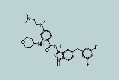 CN(C)CCN(C)c1ccc(C(=O)Nc2n[nH]c3ccc(Cc4cc(F)cc(F)c4)cc23)c(NC2CCOCC2)c1